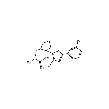 CN1SC2OCCC2(c2sc(-c3cncc(C#N)c3)cc2Cl)NC1=N